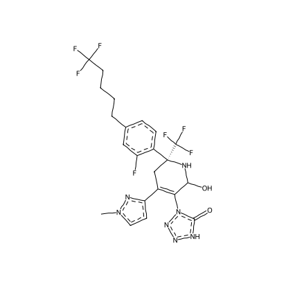 Cn1ccc(C2=C(n3nn[nH]c3=O)C(O)N[C@@](c3ccc(CCCCC(F)(F)F)cc3F)(C(F)(F)F)C2)n1